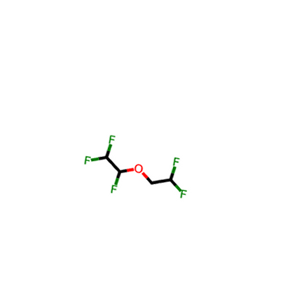 FC(F)COC(F)C(F)F